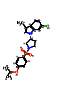 Cc1cn([C@@H]2CCN(S(=O)(=O)c3ccc(OC(C)C)cc3)C2)c2cc(Cl)ccc12